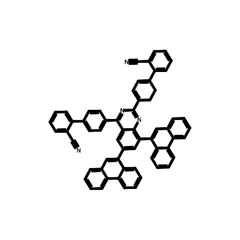 N#Cc1ccccc1C1=CC=C(c2nc(-c3ccc(-c4ccccc4C#N)cc3)c3cc(-c4cc5ccccc5c5ccccc45)cc(-c4cc5ccccc5c5ccccc45)c3n2)CC1